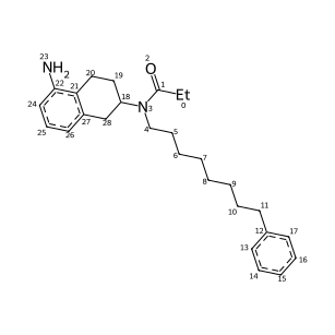 CCC(=O)N(CCCCCCCCc1ccccc1)C1CCc2c(N)cccc2C1